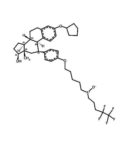 C[C@]12C[C@H](c3ccc(OCCCCC[S+]([O-])CCCC(F)(F)C(F)(F)F)cc3)[C@@H]3c4ccc(OC5CCCC5)cc4CC[C@H]3[C@@H]1CC[C@@H]2O